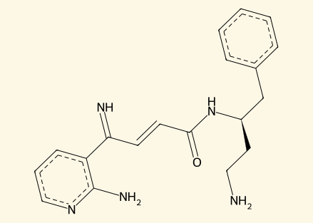 N=C(/C=C/C(=O)N[C@H](CCN)Cc1ccccc1)c1cccnc1N